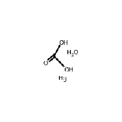 O.O=C(O)O.[Hg]